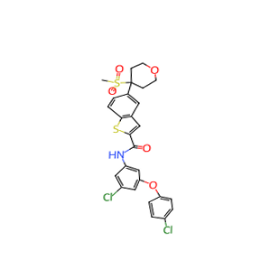 CS(=O)(=O)C1(c2ccc3sc(C(=O)Nc4cc(Cl)cc(Oc5ccc(Cl)cc5)c4)cc3c2)CCOCC1